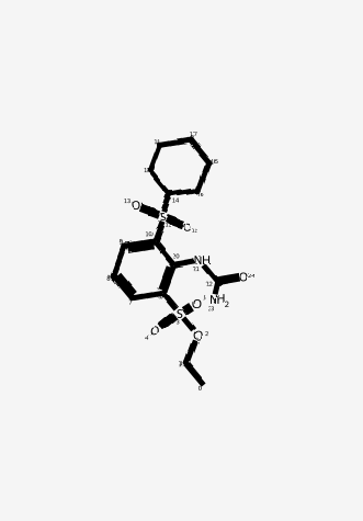 CCOS(=O)(=O)c1cccc(S(=O)(=O)C2CCCCC2)c1NC(N)=O